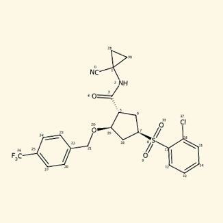 N#CC1(NC(=O)[C@@H]2C[C@@H](S(=O)(=O)c3ccccc3Cl)C[C@H]2OCc2ccc(C(F)(F)F)cc2)CC1